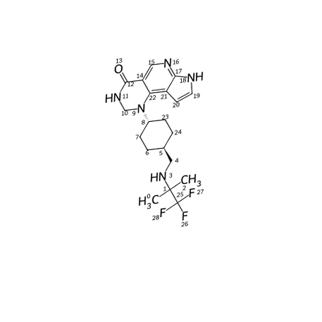 CC(C)(NC[C@H]1CC[C@H](N2CNC(=O)c3cnc4[nH]ccc4c32)CC1)C(F)(F)F